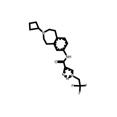 O=C(Nc1ccc2c(c1)CCN(C1CCC1)CC2)c1cn(CC(F)(F)F)nn1